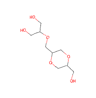 OCC(CO)OCC1COC(CO)CO1